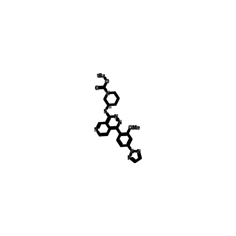 COc1cc(-n2nccn2)ccc1-c1nnc(S[C@@H]2CCCN(C(=O)OC(C)(C)C)C2)c2cnccc12